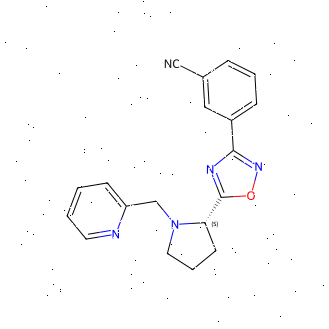 N#Cc1cccc(-c2noc([C@@H]3CCCN3Cc3ccccn3)n2)c1